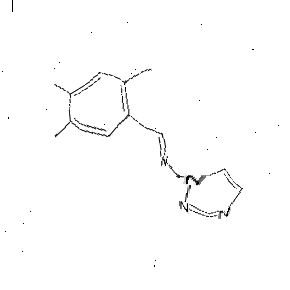 Cc1cc(C)c(/C=N/n2ccnn2)cc1C